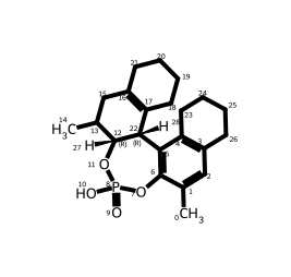 Cc1cc2c(c3c1OP(=O)(O)O[C@@H]1C(C)CC4=C(CCCC4)[C@H]31)CCCC2